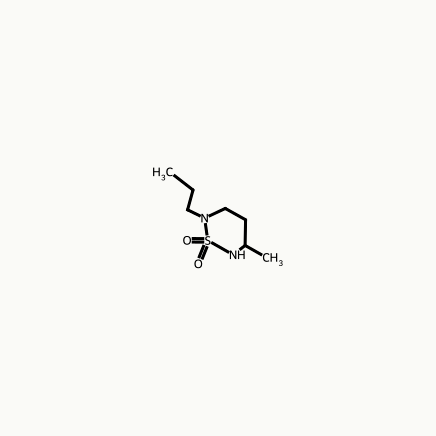 CCCN1CCC(C)NS1(=O)=O